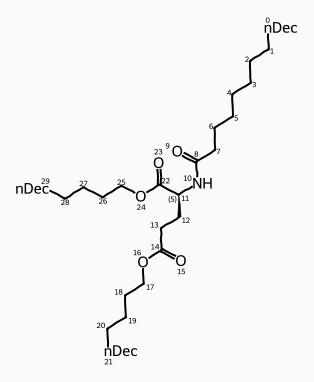 CCCCCCCCCCCCCCCCCC(=O)N[C@@H](CCC(=O)OCCCCCCCCCCCCCC)C(=O)OCCCCCCCCCCCCCC